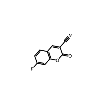 N#Cc1cc2ccc(F)cc2oc1=O